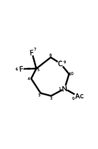 CC(=O)N1CCCC(F)(F)CCC1